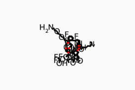 CC(C)[C@H](NC(=O)[C@@H]1CCCN1C(=O)[C@H](CC(=O)OCCCCN(C)C)NC(=O)CCOCCOCCOCCN)C(=O)N=[S@](C)(=O)Cc1cc2cc(c1)OCCCCOc1cc(F)ccc1-c1nc(ncc1F)N2.O=C(O)C(F)(F)F